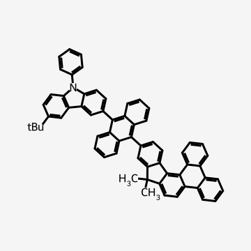 CC(C)(C)c1ccc2c(c1)c1cc(-c3c4ccccc4c(-c4ccc5c(c4)C(C)(C)c4ccc6c7ccccc7c7ccccc7c6c4-5)c4ccccc34)ccc1n2-c1ccccc1